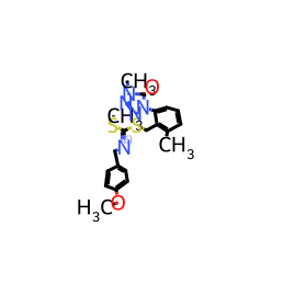 COc1ccc(C/N=C(\SC)SCc2c(C)cccc2-n2nnn(C)c2=O)cc1